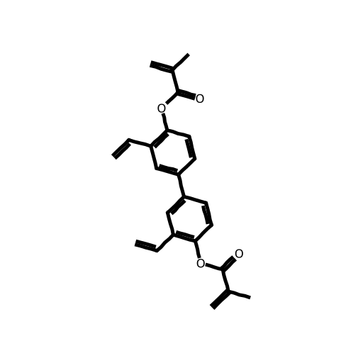 C=Cc1cc(-c2ccc(OC(=O)C(=C)C)c(C=C)c2)ccc1OC(=O)C(=C)C